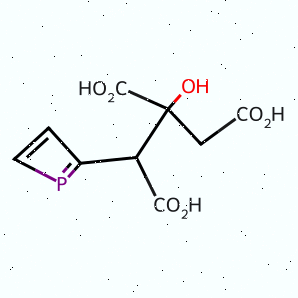 O=C(O)CC(O)(C(=O)O)C(C(=O)O)C1=PC=C1